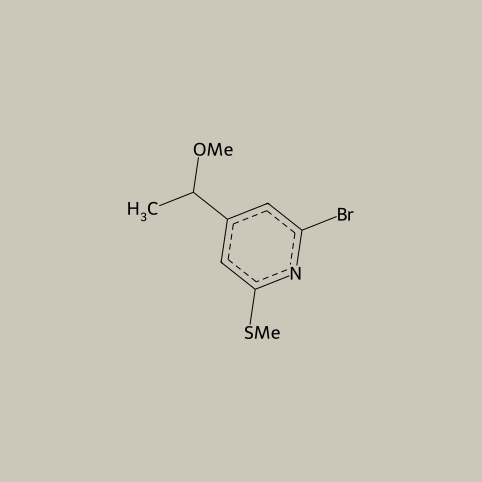 COC(C)c1cc(Br)nc(SC)c1